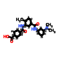 Cc1ccc(C(=O)Nc2cccc(N(C)C)c2)cc1NC(=O)c1ccc(C(=O)O)cc1